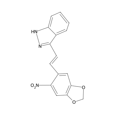 O=[N+]([O-])c1cc2c(cc1C=Cc1n[nH]c3ccccc13)OCO2